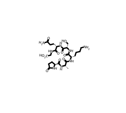 C[C@H](NC(=O)[C@@H]1CCC(=O)N1)C(=O)N[C@@H](CCCCN)C(=O)N[C@@H](CO)C(=O)N[C@@H](CCC(N)=O)C(=O)NCC(=O)O